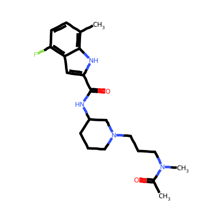 CC(=O)N(C)CCCN1CCCC(NC(=O)c2cc3c(F)ccc(C)c3[nH]2)C1